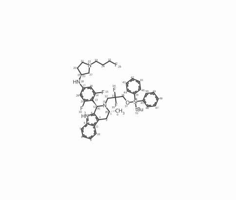 C[C@@H]1Cc2c([nH]c3ccccc23)[C@@H](c2c(F)cc(N[C@H]3CCN(CCCF)C3)cc2F)N1CC(F)(F)CO[Si](c1ccccc1)(c1ccccc1)C(C)(C)C